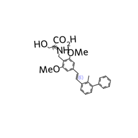 COc1cc(/C=C/c2cccc(-c3ccccc3)c2C)cc(OC)c1CN[C@H](CO)C(=O)O